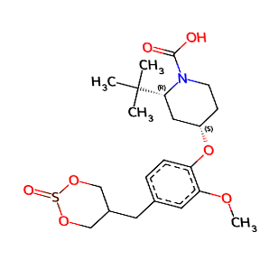 COc1cc(CC2COS(=O)OC2)ccc1O[C@H]1CCN(C(=O)O)[C@@H](C(C)(C)C)C1